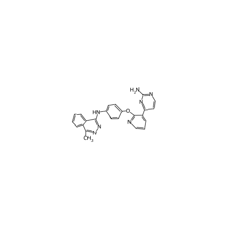 Cc1nnc(Nc2ccc(Oc3ncccc3-c3ccnc(N)n3)cc2)c2ccccc12